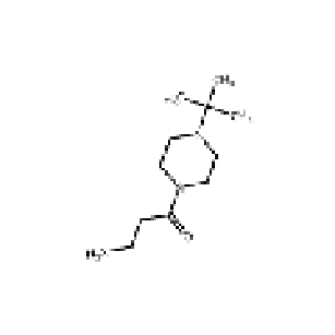 CC(C)(C)N1CCN(C(=O)CCN)CC1